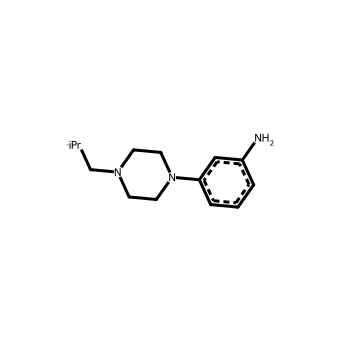 C[C](C)CN1CCN(c2cccc(N)c2)CC1